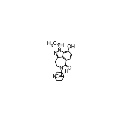 CPn1nc2c3c(ccc(O)c31)C(=O)N([C@@H]1CN3CCC1CC3)CC2